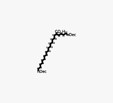 CCCCCCCCCCCCCCCCCCCCCCCCCCCC(CCCCCCCCCCCCCC)C(=O)O